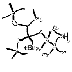 C[SiH2][C](O[Si](C)(C)C)C(O[Si](C)(C)C)(O[Si]1(C(C)C)[SiH2][SiH2][Si]1(C(C)C)C(C)C)C(C)(C)C